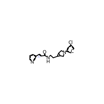 O=C(/C=C/c1cccnc1)NCCC1C2CN(c3cccc(Cl)c3)CC12